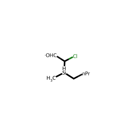 CCCC[SiH](C)C(Cl)[C]=O